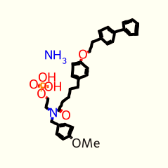 COc1ccc(CN(CCOP(=O)(O)O)C(=O)CCCCc2ccc(OCCc3ccc(-c4ccccc4)cc3)cc2)cc1.N